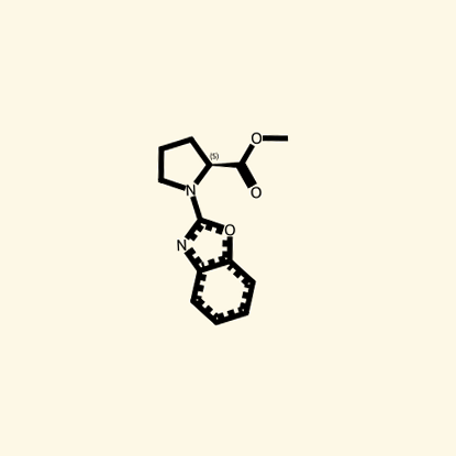 COC(=O)[C@@H]1CCCN1c1nc2ccccc2o1